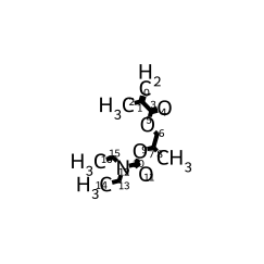 C=C(C)C(=O)OCC(C)OC(=O)N(CC)CC